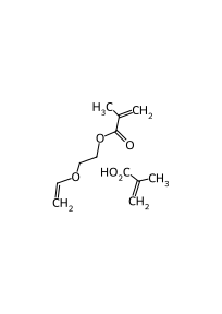 C=C(C)C(=O)O.C=COCCOC(=O)C(=C)C